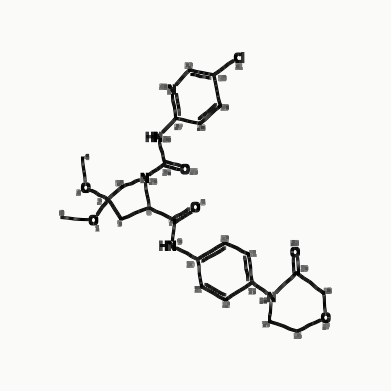 COC1(OC)CC(C(=O)Nc2ccc(N3CCOCC3=O)cc2)N(C(=O)Nc2ccc(Cl)cn2)C1